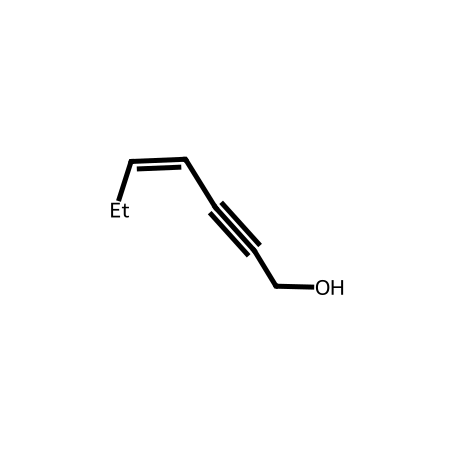 CC/C=C\C#CCO